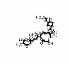 CC[C@H](O)[C@@H](C)[C@H]1O[C@@H]1CC(C)(O)/C=C/C=C(\C)[C@H]1OC(=O)C[C@H](O)CC[C@@](C)(OC)[C@@H](OC(=O)N2CCN[C@@H](CCC(=O)O)C2)/C=C/[C@@H]1C